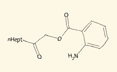 CCCCCCCC(=O)COC(=O)c1ccccc1N